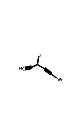 C#CC(C#CCCC)C[CH2]